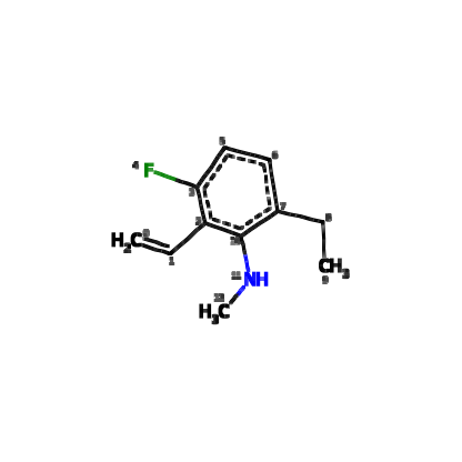 C=Cc1c(F)ccc(CC)c1NC